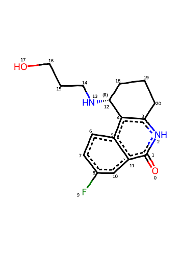 O=c1[nH]c2c(c3ccc(F)cc13)[C@H](NCCCO)CCC2